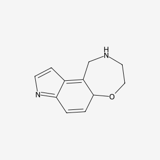 C1=CC2=C3CNCCOC3C=CC2=N1